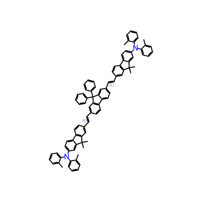 Cc1ccccc1N(c1ccc2c(c1)C(C)(C)c1cc(/C=C/c3ccc4c(c3)C(c3ccccc3)(c3ccccc3)c3cc(/C=C/c5ccc6c(c5)C(C)(C)c5cc(N(c7ccccc7C)c7ccccc7C)ccc5-6)ccc3-4)ccc1-2)c1ccccc1C